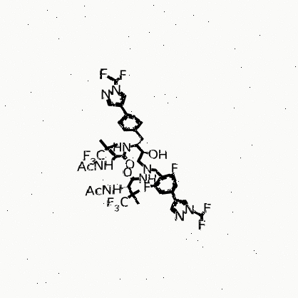 CC(=O)NC(C(=O)N[C@@H](Cc1ccc(-c2cnn(C(F)F)c2)cc1)[C@@H](O)CN(Cc1c(F)cc(-c2cnn(C(F)F)c2)cc1F)NC(=O)[C@@H](NC(C)=O)C(C)(C)C(F)(F)F)C(C)(C)C(F)(F)F